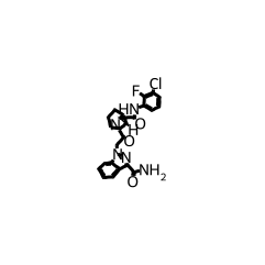 NC(=O)c1nn(CC(=O)N2C3CCC(CC3)[C@@H]2C(=O)Nc2cccc(Cl)c2F)c2ccccc12